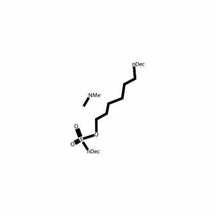 CCCCCCCCCCCCCCCCOS(=O)(=O)CCCCCCCCCC.CNC